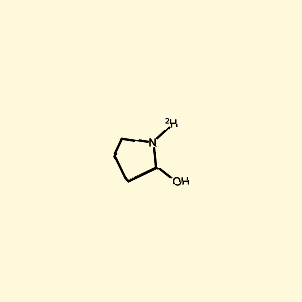 [2H]N1CCCC1O